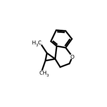 CC1C(C)C12CCOc1ccccc12